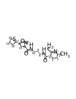 Cc1ccc(C(=O)NCCCNC(=O)c2cc(-c3cccs3)on2)c(C)n1